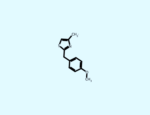 [CH2]c1csc(Cc2ccc(OC)cc2)n1